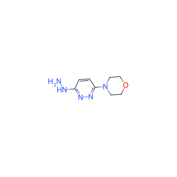 NNc1ccc(N2CCOCC2)nn1